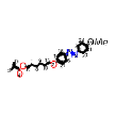 C=C(C)C(=O)OCCCCCCOc1ccc(/N=N/c2ccc(OC)cc2)cc1